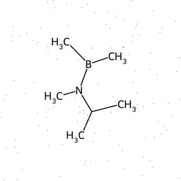 CB(C)N(C)C(C)C